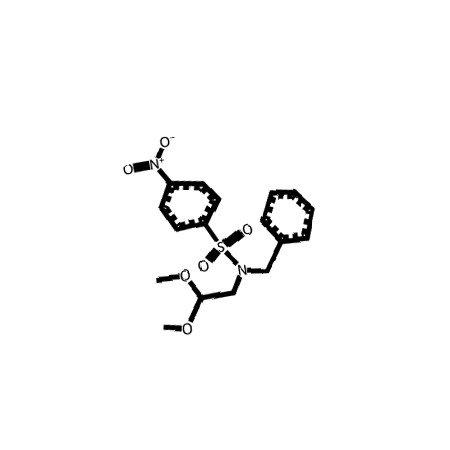 COC(CN(Cc1ccccc1)S(=O)(=O)c1ccc([N+](=O)[O-])cc1)OC